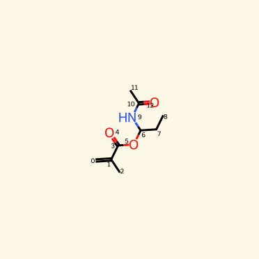 C=C(C)C(=O)OC(CC)NC(C)=O